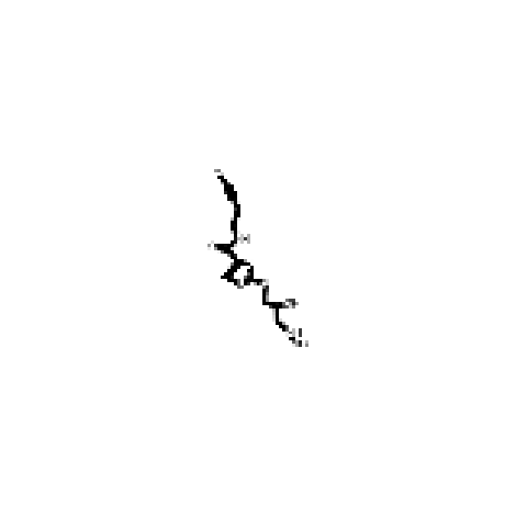 CCC#CCCNC(=O)c1cnc(OCC(O)CNC(C)(C)C)s1